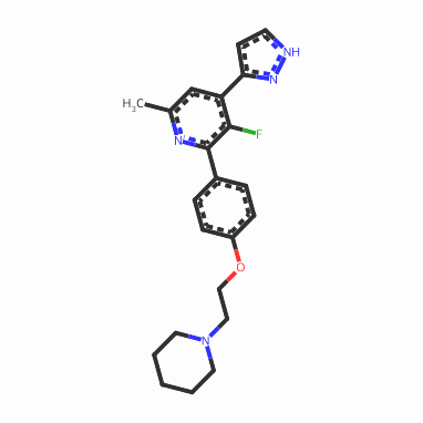 Cc1cc(-c2cc[nH]n2)c(F)c(-c2ccc(OCCN3CCCCC3)cc2)n1